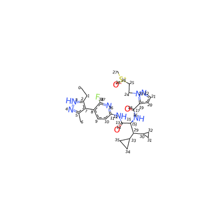 CCc1[nH]nc(C)c1-c1ccc(NC(=O)[C@@H](NC(=O)c2ccnn2CC[S+](C)[O-])C(C2CC2)C2CC2)nc1F